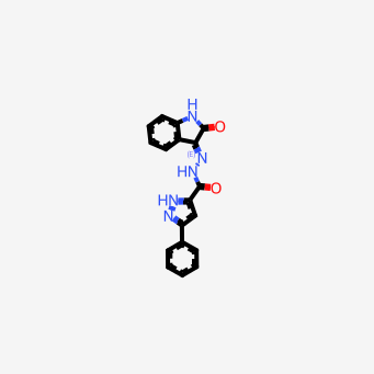 O=C1Nc2ccccc2/C1=N\NC(=O)c1cc(-c2ccccc2)n[nH]1